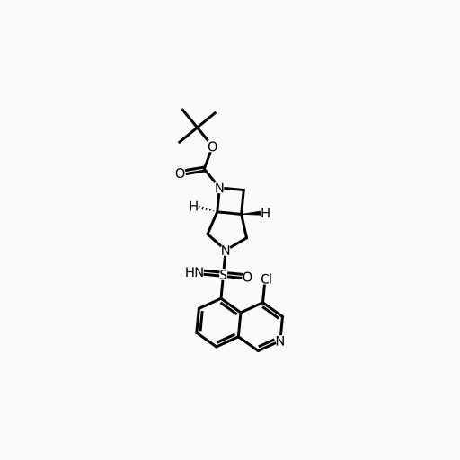 CC(C)(C)OC(=O)N1C[C@@H]2CN(S(=N)(=O)c3cccc4cncc(Cl)c34)C[C@H]21